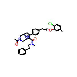 CC(=O)N1CC2CC(c3ccc(CCCOc4cc(C)ccc4Cl)cc3)=C(C(=O)N(C)CCc3ccccc3)C(C1)N2